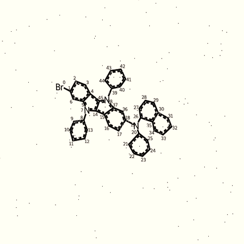 Brc1ccc2c(c1)n(-c1ccccc1)c1c3ccc(N(c4ccccc4)c4cccc5ccccc45)cc3n(-c3ccccc3)c21